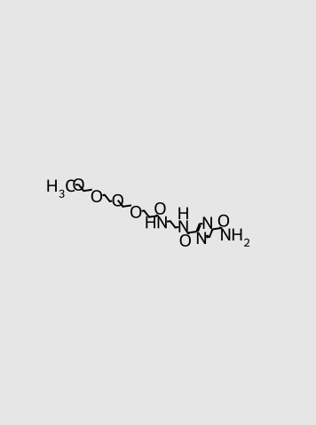 COCCOCCOCCOCCC(=O)NCCNC(=O)c1cnc(C(N)=O)cn1